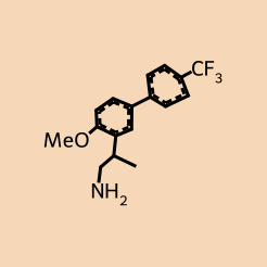 COc1ccc(-c2ccc(C(F)(F)F)cc2)cc1C(C)CN